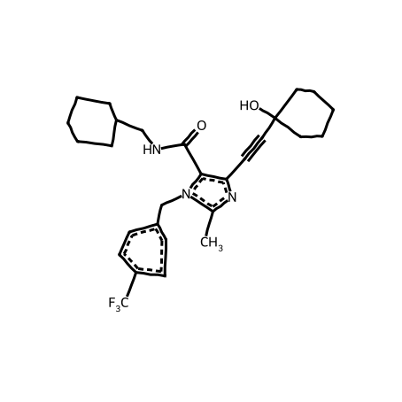 Cc1nc(C#CC2(O)CCCCC2)c(C(=O)NCC2CCCCC2)n1Cc1ccc(C(F)(F)F)cc1